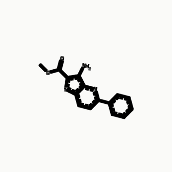 COC(=O)c1sc2ccc(-c3ccccc3)nc2c1N